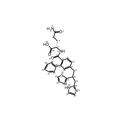 NC(=O)CC[C@H](NC(=O)c1ccc(CC(Cc2ncc[nH]2)c2nccs2)cc1-c1ccccc1)C(=O)O